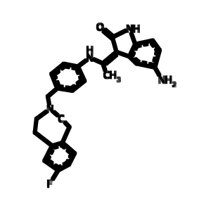 C/C(Nc1ccc(CN2CCc3ccc(F)cc3CC2)cc1)=C1/C(=O)Nc2ccc(N)cc21